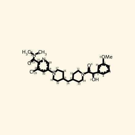 COc1cccc(C(O)C(=O)N2CCC(CC3CCN(c4cnc(C(=O)N(C)C)c(Cl)c4)CC3)CC2)c1